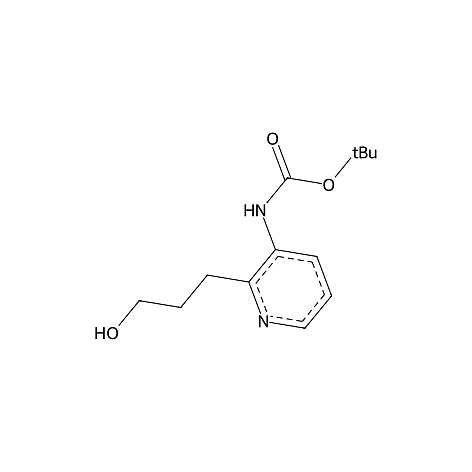 CC(C)(C)OC(=O)Nc1cccnc1CCCO